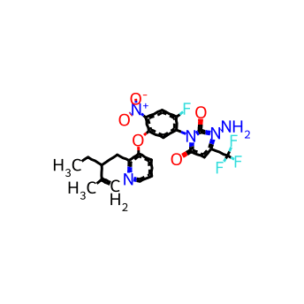 C=C(C)C(CC)Cc1ncccc1Oc1cc(-n2c(=O)cc(C(F)(F)F)n(N)c2=O)c(F)cc1[N+](=O)[O-]